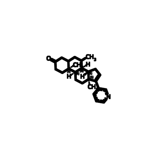 CC1CC2CC(=O)CC[C@]2(C)[C@@H]2CC[C@]3(C)C(c4cccnc4)=CC[C@H]3[C@H]12